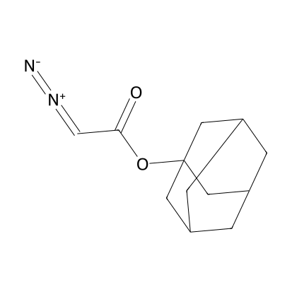 [N-]=[N+]=CC(=O)OC12CC3CC(CC(C3)C1)C2